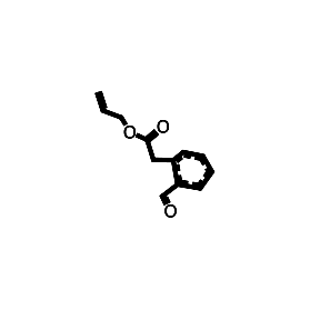 C=CCOC(=O)Cc1ccccc1C=O